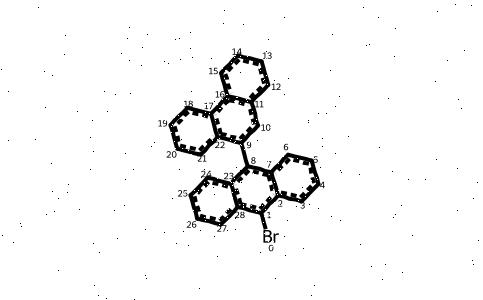 Brc1c2ccccc2c(-c2cc3ccccc3c3ccccc23)c2ccccc12